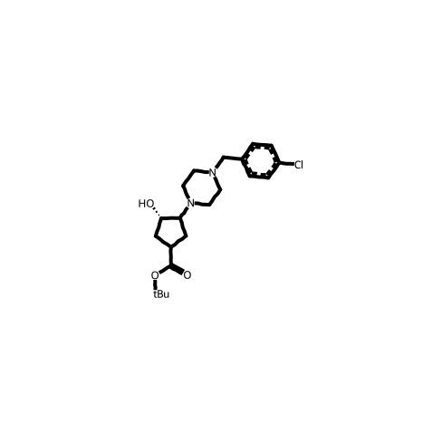 CC(C)(C)OC(=O)C1CC(N2CCN(Cc3ccc(Cl)cc3)CC2)[C@@H](O)C1